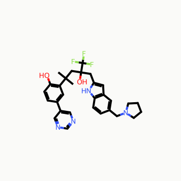 CC(C)(CC(O)(Cc1cc2cc(CN3CCCC3)ccc2[nH]1)C(F)(F)F)c1cc(-c2cncnc2)ccc1O